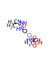 CC(C)c1cc(C(=O)Nc2ccc([C@H]3CC[C@@H](C(=O)NC(C)(C)C(=O)O)CC3)cc2)[nH]n1